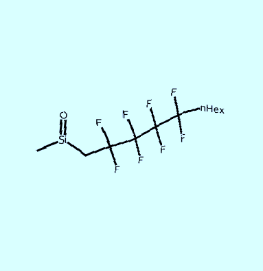 CCCCCCC(F)(F)C(F)(F)C(F)(F)C(F)(F)C[Si](C)=O